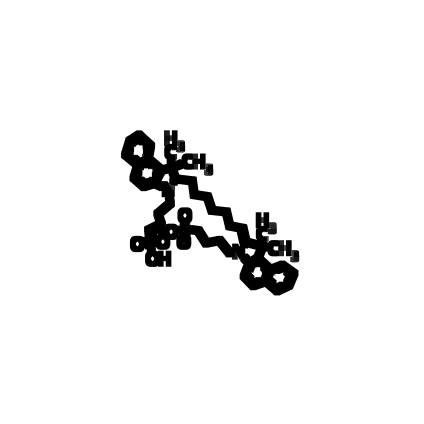 CC1(C)C(=CCCCCCCC2N(CCCCS(=O)(=O)O)c3ccc4ccccc4c3C2(C)C)N(CCCCS(=O)(=O)O)c2ccc3ccccc3c21